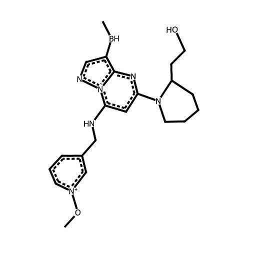 CBc1cnn2c(NCc3ccc[n+](OC)c3)cc(N3CCCCC3CCO)nc12